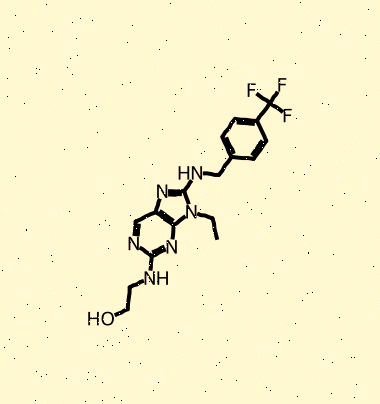 CCn1c(NCc2ccc(C(F)(F)F)cc2)nc2cnc(NCCO)nc21